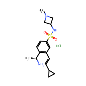 C[C@H](N)c1ccc(S(=O)(=O)NC2CN(C)C2)cc1/C=C/C1CC1.Cl